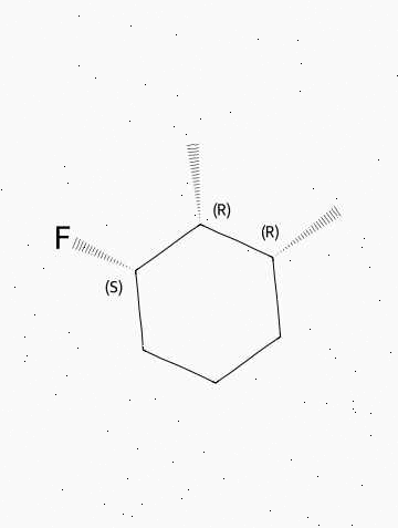 C[C@@H]1[C@H](C)CCC[C@@H]1F